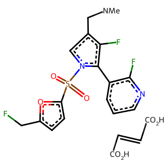 CNCc1cn(S(=O)(=O)c2ccc(CF)o2)c(-c2cccnc2F)c1F.O=C(O)C=CC(=O)O